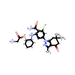 CC1(C)CC(=O)c2c(C(F)(F)F)nn(-c3cc(F)c(C(N)=O)c(N[C@H]4CCCC[C@@H]4OC(=O)CN)c3)c2C1